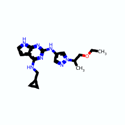 CCOCC(C)n1cc(Nc2nc(NCC3CC3)c3cc[nH]c3n2)cn1